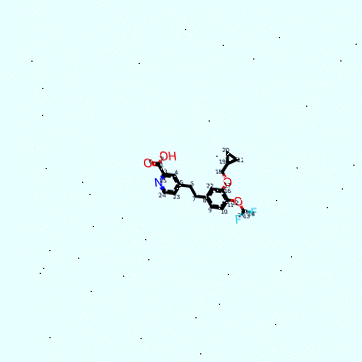 O=C(O)c1cc(CCc2ccc(OC(F)F)c(OCC3CC3)c2)ccn1